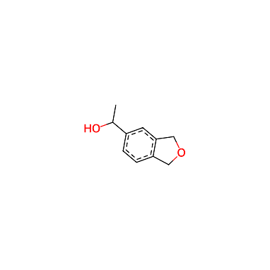 CC(O)c1ccc2c(c1)COC2